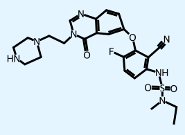 CCN(C)S(=O)(=O)Nc1ccc(F)c(Oc2ccc3ncn(CCN4CCNCC4)c(=O)c3c2)c1C#N